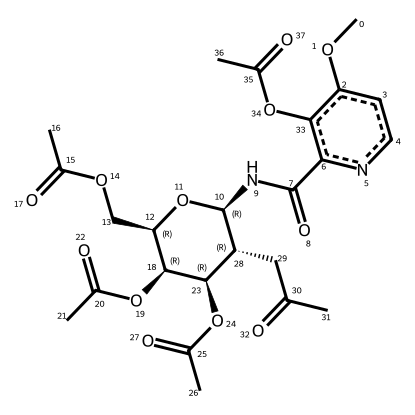 COc1ccnc(C(=O)N[C@@H]2O[C@H](COC(C)=O)[C@H](OC(C)=O)[C@H](OC(C)=O)[C@H]2CC(C)=O)c1OC(C)=O